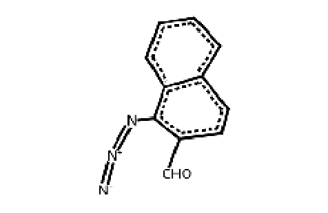 [N-]=[N+]=Nc1c(C=O)ccc2ccccc12